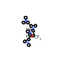 N#Cc1c(-n2c3ccccc3c3cc(-c4ccc5c(c4)c4ccccc4n5-c4ccccc4)ccc32)ccc(-c2cc(C(F)(F)F)cc(C(F)(F)F)c2)c1-n1c2ccccc2c2cc(-c3ccc4c(c3)c3ccccc3n4-c3ccccc3)ccc21